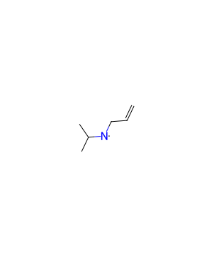 C=CC[N]C(C)C